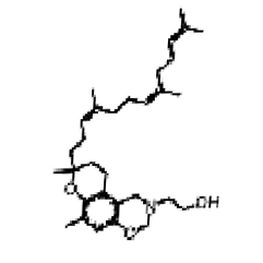 CC(C)=CCCC(C)=CCCC(C)=CCCC1(C)CCc2c3c(cc(C)c2O1)OCN(CCO)C3